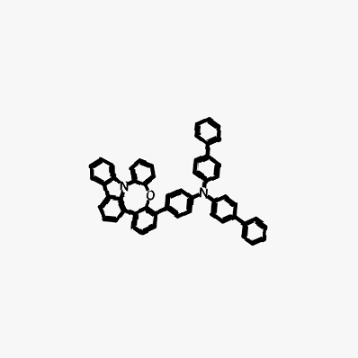 c1ccc(-c2ccc(N(c3ccc(-c4ccccc4)cc3)c3ccc(-c4cccc5c4oc4ccccc4n4c6ccccc6c6cccc5c64)cc3)cc2)cc1